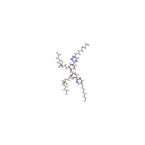 CCCCCCCCc1cnc(-c2ccc(Oc3ccc(-c4ncc(CCCCCCCC)cn4)cc3CCC[Si](C)(C)CCCCC)c(CCC[Si](C)(C)CCCCC)c2)nc1